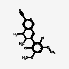 COc1cc(OC)c(Cl)c(C2=Cc3cnc(C#N)cc3N(C)C2C)c1Cl